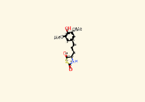 COc1cc(CCCC2NC(=O)SC2=O)cc(OC)c1O